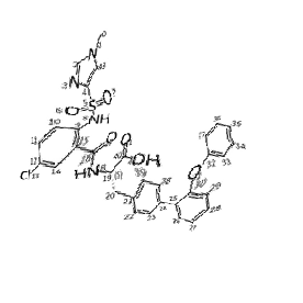 Cn1cnc(S(=O)(=O)Nc2ccc(Cl)cc2C(=O)N[C@@H](Cc2ccc(-c3ccccc3Oc3ccccc3)cc2)C(=O)O)c1